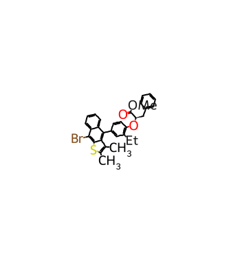 CCc1cc(-c2c3ccccc3c(Br)c3sc(C)c(C)c23)ccc1O[C@H](Cc1ccccc1)C(=O)OC